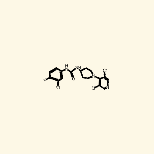 O=C(Nc1ccc(F)c(Cl)c1)NC1CCN(c2c(Cl)cncc2Cl)CC1